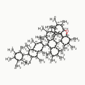 Bc1c(B)c(B)c(-c2c(B)c(B)c3c(B)c(-c4c5c(B)c(B)c(B)c(B)c5c(-c5c(B)c(B)c(B)c6oc7c(B)c(B)c(B)c(B)c7c56)c5c(B)c(B)c(B)c(B)c45)c(B)c(B)c3c2B)c(B)c1B